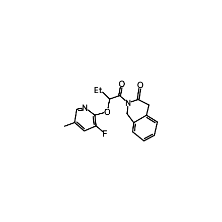 CCC(Oc1ncc(C)cc1F)C(=O)N1Cc2ccccc2CC1=O